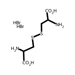 Br.Br.NC(CSSCC(N)C(=O)O)C(=O)O